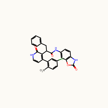 O=C(Nc1ccc2[nH]c(=O)oc2c1)C(Cc1ccccc1)c1c(-c2cc(Cl)ccc2[N+](=O)[O-])cc[nH]c1=O